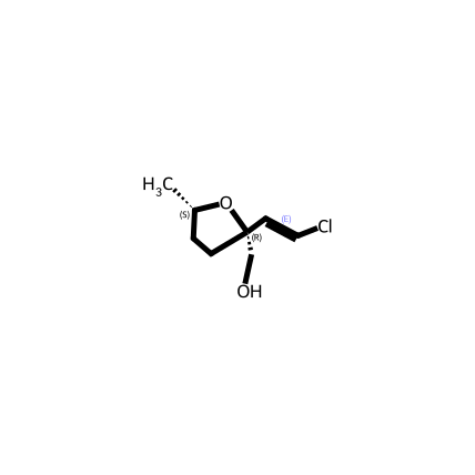 C[C@H]1CC[C@@](/C=C/Cl)(CO)O1